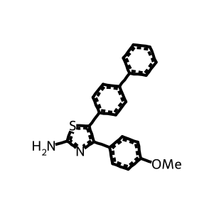 COc1ccc(-c2nc(N)sc2-c2ccc(-c3ccccc3)cc2)cc1